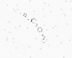 Cc1nc(CC(=O)N[C@H]2CC[C@H](CCN3CCc4sc(OC5CC(F)(F)C5)nc4C3)CC2)no1